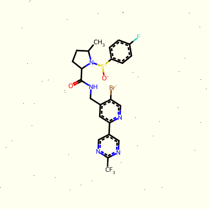 CC1CCC(C(=O)NCc2cc(-c3cnc(C(F)(F)F)nc3)ncc2Br)N1[S+]([O-])c1ccc(F)cc1